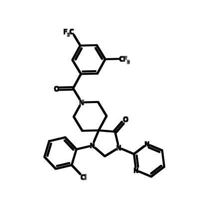 O=C(c1cc(C(F)(F)F)cc(C(F)(F)F)c1)N1CCC2(CC1)C(=O)N(c1ncccn1)CN2c1ccccc1Cl